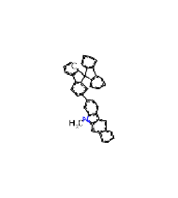 Cn1c2cc(-c3ccc4c(c3)C3(c5ccccc5-c5ccccc53)c3ccccc3-4)ccc2c2cc3ccccc3cc21